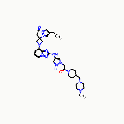 CCc1cnn(C2(CC#N)CN(c3cccn4nc(NC5=CN(CC(=O)N6CCC(CN7CCN(C)CC7)CC6)NC5)nc34)C2)c1